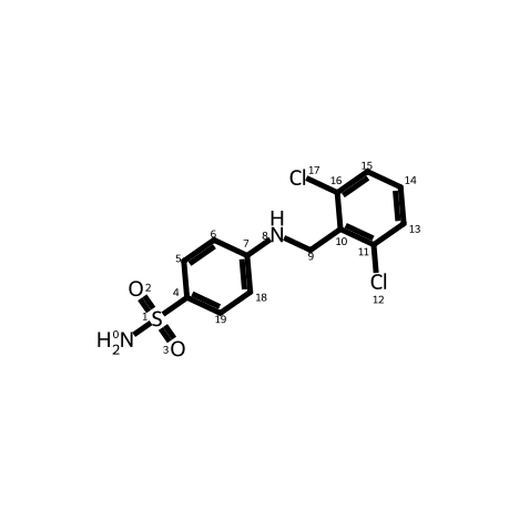 NS(=O)(=O)c1ccc(NCc2c(Cl)cccc2Cl)cc1